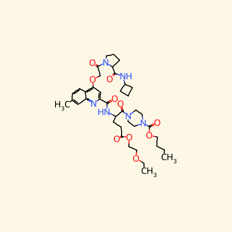 CCCCOC(=O)N1CCN(C(=O)C(CCC(=O)OCCOCC)NC(=O)c2cc(OCC(=O)N3CCCC3C(=O)NC3CCC3)c3ccc(C)cc3n2)CC1